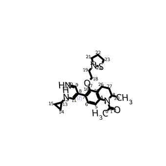 CC(=O)N1c2ccc(/C(C=N)=C/NC3CC3)c(OCCN3CCCS3)c2CCC1C